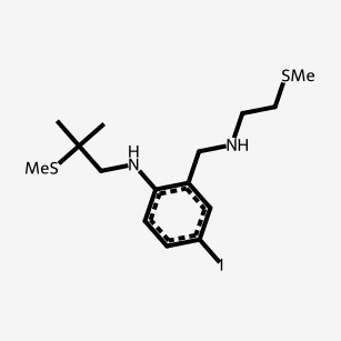 CSCCNCc1cc(I)ccc1NCC(C)(C)SC